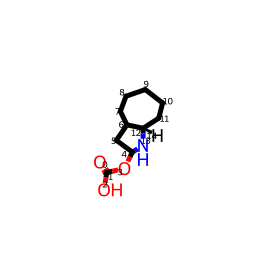 O=C(O)OC1CC2CCCCC[C@@H]2N1